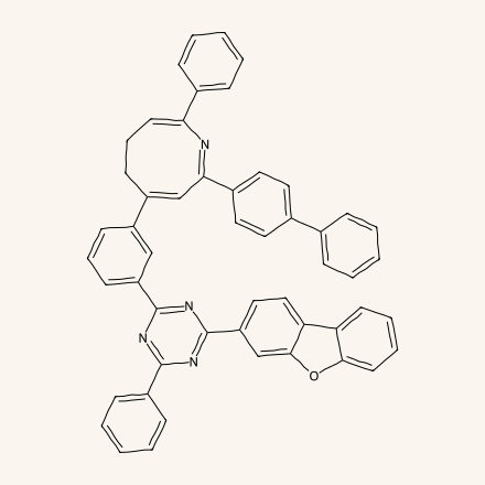 C1=C(c2ccccc2)/N=C(c2ccc(-c3ccccc3)cc2)\C=C(\c2cccc(-c3nc(-c4ccccc4)nc(-c4ccc5c(c4)oc4ccccc45)n3)c2)CC\1